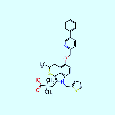 CC1Cc2c(OCc3ccc(-c4ccccc4)cn3)ccc3c2c(c(CC(C)(C)C(=O)O)n3Cc2cccs2)S1